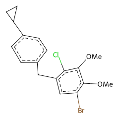 COc1c(Br)cc(Cc2ccc(C3CC3)cc2)c(Cl)c1OC